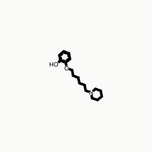 Oc1ccccc1OCCCCCCN1CCCCC1